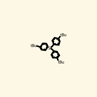 CC(C)(C)c1ccc([Si](c2ccc(C(C)(C)C)cc2)c2ccc(C(C)(C)C)cc2)cc1